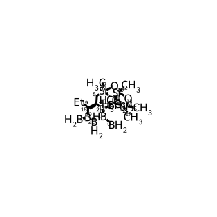 BBB(B)/C(C[Si](C)(C)O[Si](C)(C)O[Si](C)(C)C)=C(/CC)B(B)B